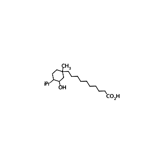 CC(C)C1CCC(C)(CCCCCCCCCC(=O)O)CC1O